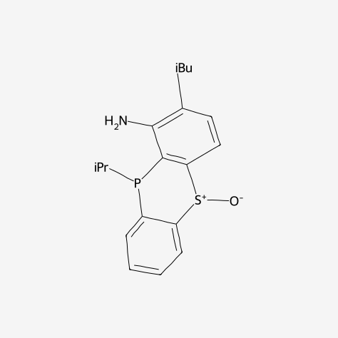 CCC(C)c1ccc2c(c1N)P(C(C)C)c1ccccc1[S+]2[O-]